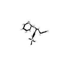 CCCC(C#C[Si](C)(C)C)OC1CCCCO1